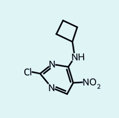 O=[N+]([O-])c1cnc(Cl)nc1NC1CCC1